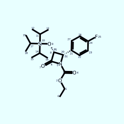 CCOC(=O)N1C(=O)[C@H](O[Si](C(C)C)(C(C)C)C(C)C)[C@@H]1c1ccc(F)cc1